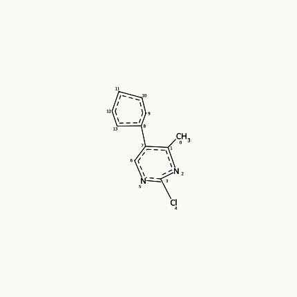 Cc1nc(Cl)ncc1-c1ccccc1